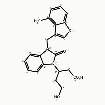 Cc1cccc2scc(Cn3c(=O)n(C(CCO)CC(=O)O)c4ccccc43)c12